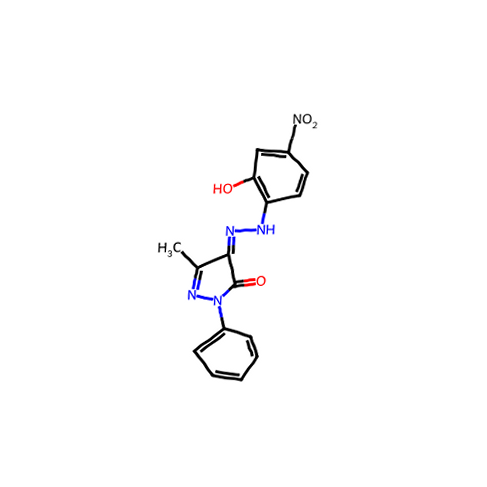 CC1=NN(c2ccccc2)C(=O)C1=NNc1ccc([N+](=O)[O-])cc1O